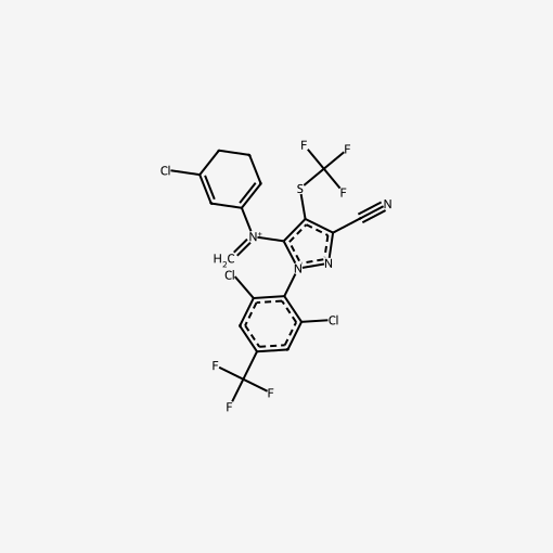 C=[N+](C1=CCCC(Cl)=C1)c1c(SC(F)(F)F)c(C#N)nn1-c1c(Cl)cc(C(F)(F)F)cc1Cl